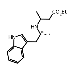 CCOC(=O)CC(C)N[C@H](C)Cc1c[nH]c2ccccc12